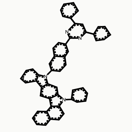 c1ccc(-c2cc(-c3ccccc3)nc(-c3ccc4cc(-n5c6ccccc6c6cc7c8c9ccccc9ccc8n(-c8ccccc8)c7cc65)ccc4c3)n2)cc1